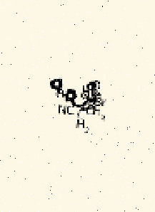 CC1(C)[C@@H]([C@@H](O[C@@H]2CCO[PH]2=O)C(Br)(Br)Br)[C@H]1[C@H](C#N)c1cccc(Oc2ccccc2)c1